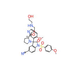 COc1ccc(S(=O)(=O)N2C(=O)C(c3ccc(CNCCO)cc3OC)(N3CCC[C@H]3c3ncco3)c3cc(C#N)ccc32)cc1